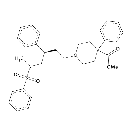 COC(=O)C1(c2ccccc2)CCN(CC[C@@H](CN(C)S(=O)(=O)c2ccccc2)c2ccccc2)CC1